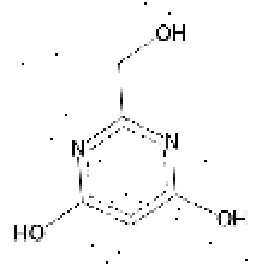 OCc1nc(O)cc(O)n1